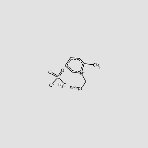 CCCCCCCC[n+]1ccccc1C.CS(=O)(=O)[O-]